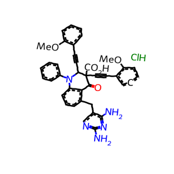 COc1ccccc1C#CC1N(c2ccccc2)c2cccc(Cc3cnc(N)nc3N)c2C(=O)C1(C#Cc1ccccc1OC)C(=O)O.Cl